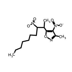 CCCCCCCC(C(C)c1onc(C)c1[N+](=O)[O-])[N+](=O)[O-]